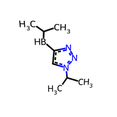 CC(C)Bc1cn(C(C)C)nn1